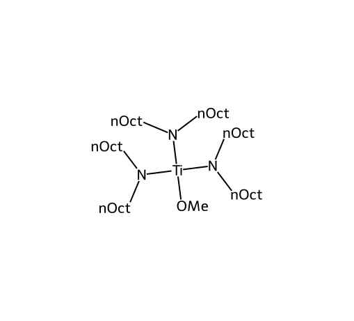 CCCCCCCC[N](CCCCCCCC)[Ti]([O]C)([N](CCCCCCCC)CCCCCCCC)[N](CCCCCCCC)CCCCCCCC